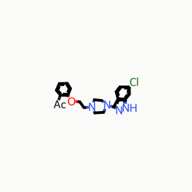 CC(=O)c1ccccc1OCCN1CCN(c2n[nH]c3cc(Cl)ccc23)CC1